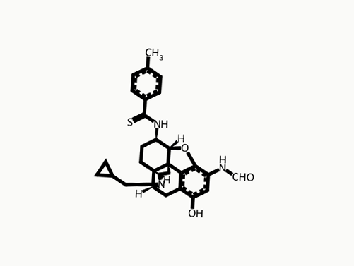 Cc1ccc(C(=S)N[C@@H]2CC[C@H]3[C@H]4Cc5c(O)cc(NC=O)c6c5[C@@]3(CCN4CC3CC3)[C@H]2O6)cc1